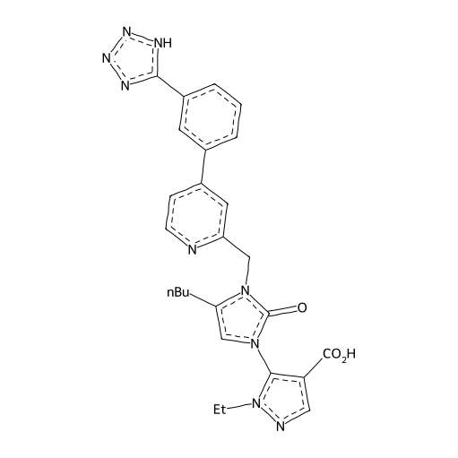 CCCCc1cn(-c2c(C(=O)O)cnn2CC)c(=O)n1Cc1cc(-c2cccc(-c3nnn[nH]3)c2)ccn1